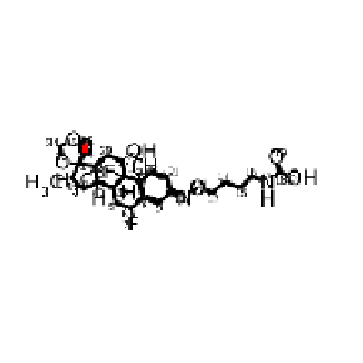 C[C@H]1C[C@H]2[C@@H]3C[C@H](F)C4=C/C(=N/OCCCCNC(=O)O)C=C[C@]4(C)[C@@]3(F)[C@@H](O)C[C@]2(C)[C@]12OCOC21COCO1